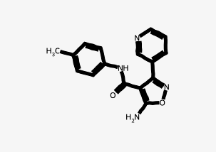 Cc1ccc(NC(=O)c2c(-c3cccnc3)noc2N)cc1